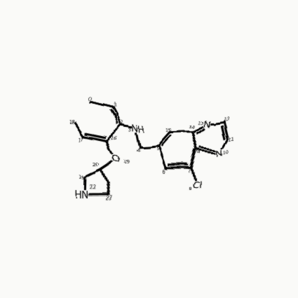 C/C=C(NCc1cc(Cl)c2nccnc2c1)\C(=C/C)OC1CNC1